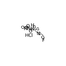 Cl.O=C(CNC(=O)OCc1ccccc1)NCC(CCCN1CCC(Cc2ccc(F)cc2)CC1)(c1ccccc1)c1ccccc1